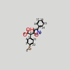 CSc1ccc(C(C(=O)O)c2cc(-c3ccccc3)no2)cc1